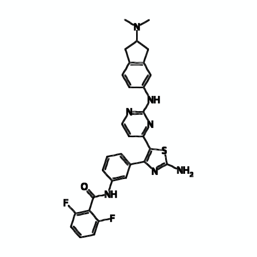 CN(C)C1Cc2ccc(Nc3nccc(-c4sc(N)nc4-c4cccc(NC(=O)c5c(F)cccc5F)c4)n3)cc2C1